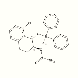 CC(C)(C)[Si](O[C@H]1c2c(Cl)cccc2CC[C@@H]1OC(N)=O)(c1ccccc1)c1ccccc1